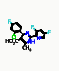 CC1=C(C(=O)O)[C@H](c2ccc(F)cc2Cl)N=C(c2ncc(F)cc2F)N1